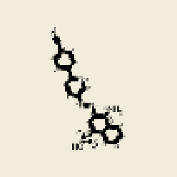 N#Cc1ccc(-c2ccc(N=Nc3cc(S(=O)(=O)O)c4ccccc4c3N)cn2)cc1